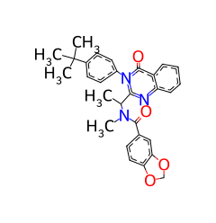 CC(c1nc2ccccc2c(=O)n1-c1ccc(C(C)(C)C)cc1)N(C)C(=O)c1ccc2c(c1)OCO2